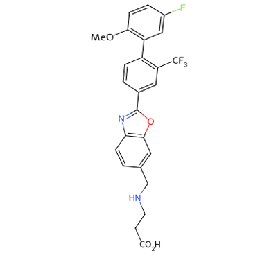 COc1ccc(F)cc1-c1ccc(-c2nc3ccc(CNCCC(=O)O)cc3o2)cc1C(F)(F)F